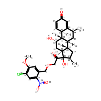 COc1cc(COCC(=O)[C@@]2(O)[C@H](C)C[C@H]3[C@@H]4C[C@H](C)C5=CC(=O)C=C[C@]5(C)[C@H]4[C@@H](O)C[C@@]32C)c([N+](=O)[O-])cc1Cl